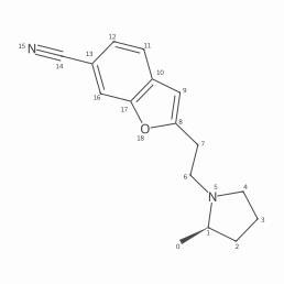 C[C@@H]1CCCN1CCc1cc2ccc(C#N)cc2o1